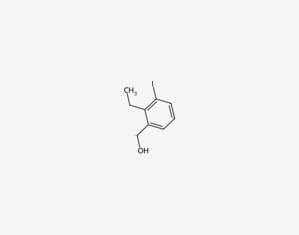 CCc1c(I)cccc1[CH]O